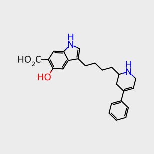 O=C(O)c1cc2[nH]cc(CCCCC3CC(c4ccccc4)=CCN3)c2cc1O